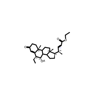 CCOC(=O)/C=C/[C@@H](C)[C@H]1CCC2C3C(CC[C@@]21C)[C@@]1(C)CCC(=O)C=C1[C@H](CC)[C@H]3O